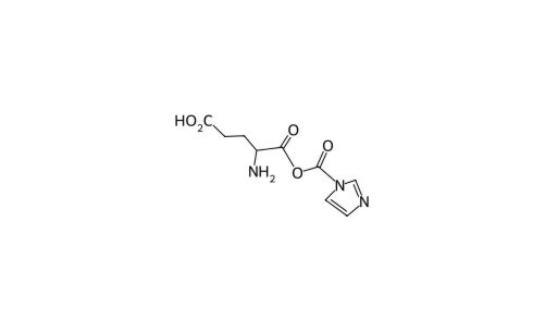 NC(CCC(=O)O)C(=O)OC(=O)n1ccnc1